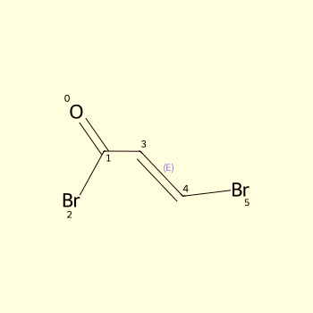 O=C(Br)/C=C/Br